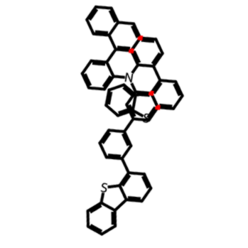 c1cc(-c2cccc(N(c3ccccc3-c3cccc4ccccc34)c3ccccc3-c3cccc4sc5ccccc5c34)c2)cc(-c2cccc3c2sc2ccccc23)c1